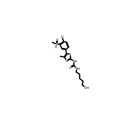 Cc1nc(NC(=O)NCCCCCO)sc1-c1ccc(Cl)c(S(C)(=O)=O)c1